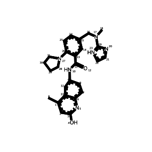 Cc1cc(O)nc2ccc(NC(=O)c3cc(CN(C)c4ncc[nH]4)ccc3N3CCCC3)cc12